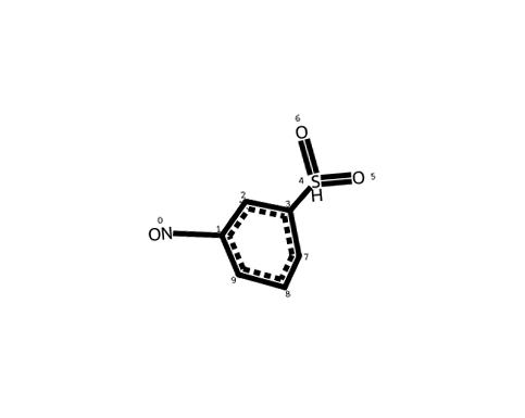 O=Nc1[c]c([SH](=O)=O)ccc1